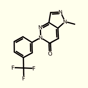 Cn1ncc2nn(-c3cccc(C(F)(F)F)c3)c(=O)cc21